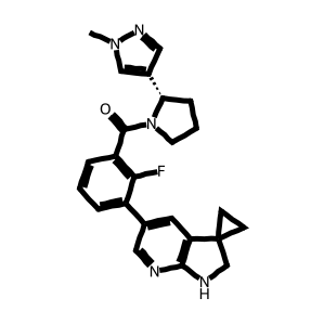 Cn1cc([C@@H]2CCCN2C(=O)c2cccc(-c3cnc4c(c3)C3(CC3)CN4)c2F)cn1